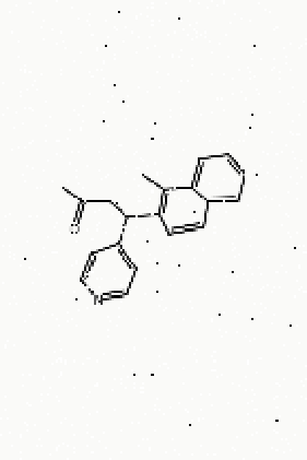 CC(=O)CC(c1ccncc1)c1ccc2ccccc2c1C